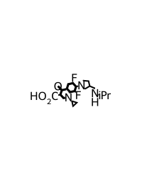 CC(C)NCC1CCN(c2c(F)cc3c(=O)c(C(=O)O)cn(C4CC4)c3c2F)C1